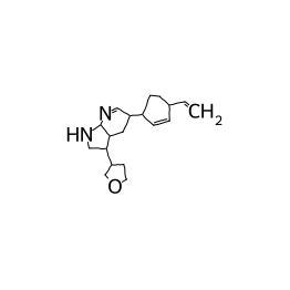 C=CC1C=CC(C2C=NC3NCC(C4CCOC4)C3C2)CC1